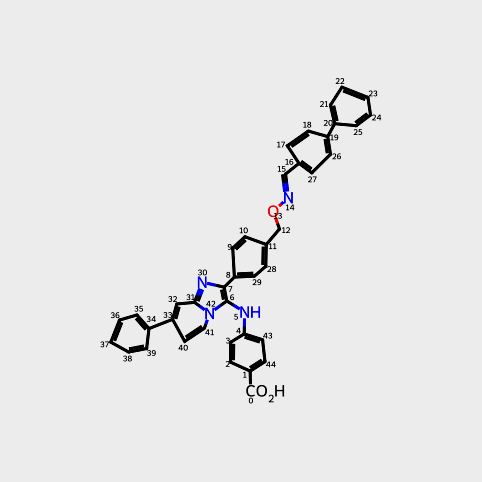 O=C(O)c1ccc(Nc2c(-c3ccc(CON=Cc4ccc(-c5ccccc5)cc4)cc3)nc3cc(-c4ccccc4)ccn23)cc1